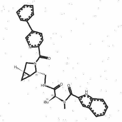 CC[C@H](C)[C@@H](C(=O)NC[C@@H]1C2C[C@H]2CN1C(=O)c1ccc(-c2ccccc2)cn1)N(C)C(=O)c1cc2ccccc2[nH]1